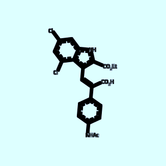 CCOC(=O)c1[nH]c2cc(Cl)cc(Cl)c2c1C=C(C(=O)O)c1ccc(NC(C)=O)cc1